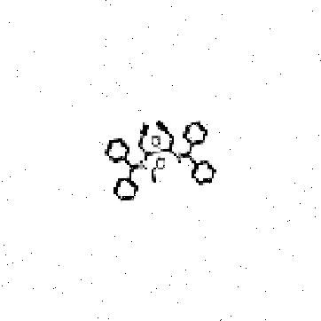 C#CCC(N=C(c1ccccc1)c1ccccc1)P(=O)(OCC)C(CC#C)N=C(c1ccccc1)c1ccccc1